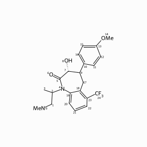 CNCC(C)N1C(=O)[C@H](O)C(c2ccc(OC)cc2)Cc2c1cccc2C(F)(F)F